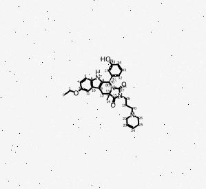 CCOc1ccc2[nH]c3c(c2c1)C[C@@]1(C)C(=O)N(CCCN2CC=CCC2)C(=O)N1[C@@H]3c1cccc(O)c1